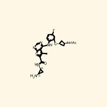 CC(=O)N[C@H]1C[C@H](Oc2cc(F)ccc2Nc2ncnc3sc(C(=O)N[C@H]4C[C@@H]4N)c(C)c23)C1